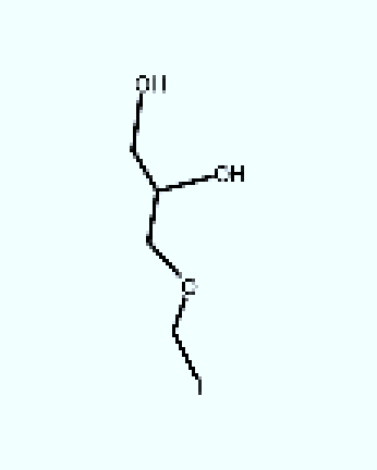 OCC(O)COCI